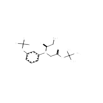 CC(C)(C)OC(=O)CN(C(=O)CN)c1cccc(OC(F)(F)F)c1